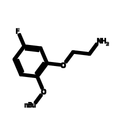 CCCCOc1ccc(F)cc1OCCN